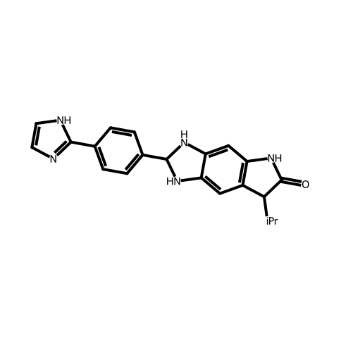 CC(C)C1C(=O)Nc2cc3c(cc21)NC(c1ccc(-c2ncc[nH]2)cc1)N3